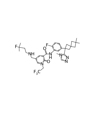 Cn1cnnc1C1(c2ccc(F)c(NC(=O)c3cc(CNCCC(C)(C)F)cn(CC(F)(F)F)c3=O)c2)CC2(CC(C)(C)C2)C1